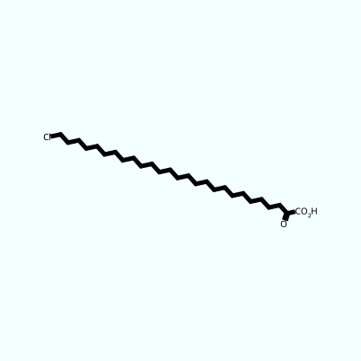 O=C(O)C(=O)CCCCCCCCCCCCCCCCCCCCCCCCCCl